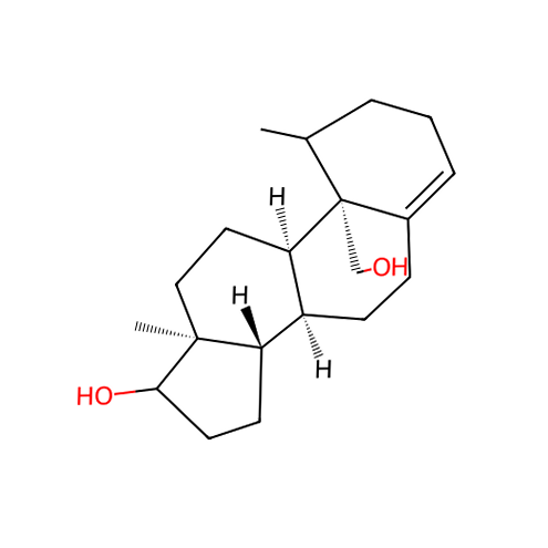 CC1CCC=C2CC[C@@H]3[C@@H](CC[C@]4(C)C(O)CC[C@@H]34)[C@]21CO